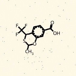 CC1Oc2cc(C(=O)O)ccc2C(C(F)(F)F)S1